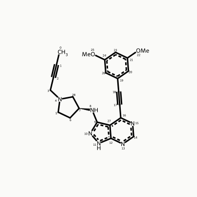 CC#CCN1CC[C@H](Nc2n[nH]c3ncnc(C#Cc4cc(OC)cc(OC)c4)c23)C1